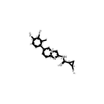 Cc1c(-c2ccc3nc(NC(=O)C4CC4F)cn3c2)ccc(F)c1F